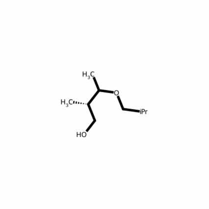 CC(C)COC(C)[C@@H](C)CO